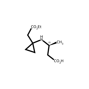 CCOC(=O)CC1(N[C@@H](C)CC(=O)O)CC1